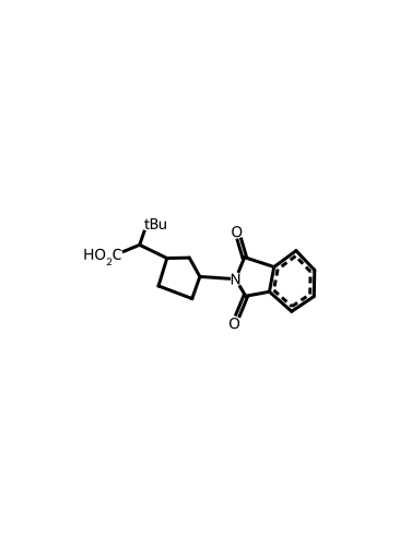 CC(C)(C)C(C(=O)O)C1CCC(N2C(=O)c3ccccc3C2=O)C1